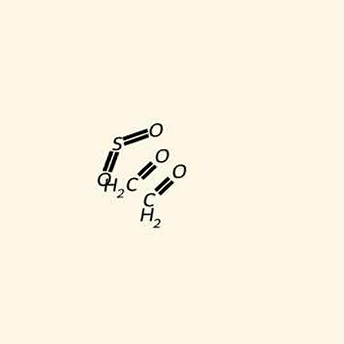 C=O.C=O.O=S=O